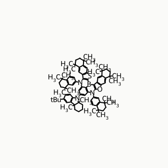 CC(C)(C)c1ccc2c(c1)C1(C)CCCCC1(C)N2c1cc2c3c(c1)N(c1ccc4c(c1)C(C)(C)CCC4(C)C)c1c(sc4cc5c(cc14)C(C)(C)CCC5(C)C)B3c1c(oc3cc4c(cc13)C(C)(C)CCC4(C)C)N2c1ccc2c(c1)C(C)(C)CCC2(C)C